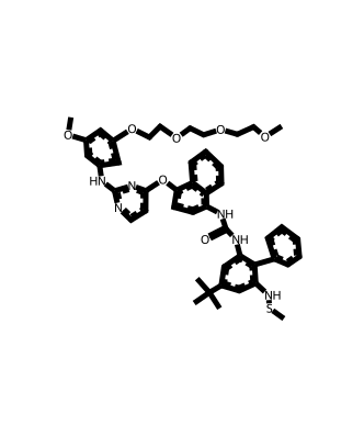 COCCOCCOCCOc1cc(Nc2nccc(Oc3ccc(NC(=O)Nc4cc(C(C)(C)C)cc(NSC)c4-c4ccccc4)c4ccccc34)n2)cc(OC)c1